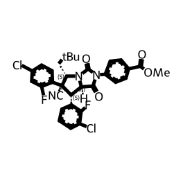 COC(=O)c1ccc(N2C(=O)[C@H]3[C@H](c4cccc(Cl)c4F)[C@@](C#N)(c4ccc(Cl)cc4F)[C@H](CC(C)(C)C)N3C2=O)cc1